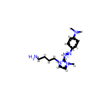 CN(C)c1ccc(/N=N/c2n(C)cc[n+]2CCCCN)cc1